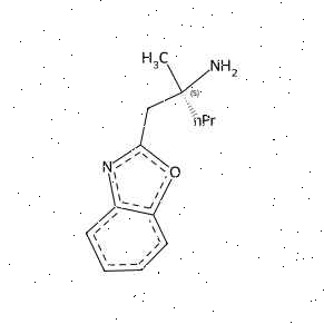 CCC[C@](C)(N)Cc1nc2ccccc2o1